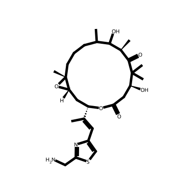 CC(=Cc1csc(CN)n1)[C@@H]1C[C@@H]2O[C@]2(C)CCCC(C)C(O)[C@@H](C)C(=O)C(C)(C)[C@@H](O)CC(=O)O1